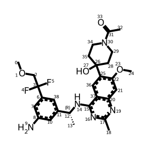 COCC(F)(F)c1cc(N)cc([C@@H](C)Nc2nc(C)nc3cc(OC)c(C4(O)CCN(C(C)=O)CC4)cc23)c1